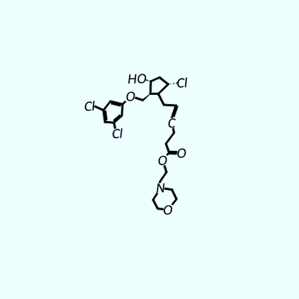 O=C(CCC/C=C\CC1[C@@H](COc2cc(Cl)cc(Cl)c2)[C@H](O)C[C@@H]1Cl)OCCN1CCOCC1